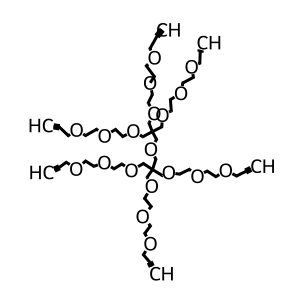 C#CCOCCOCCOCC(COCCOCCOCC#C)(COCCOCCOCC#C)COCC(COCCOCCOCC#C)(COCCOCCOCC#C)COCCOCCOCC#C